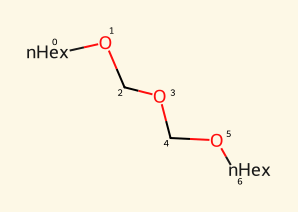 CCCCCCOCOCOCCCCCC